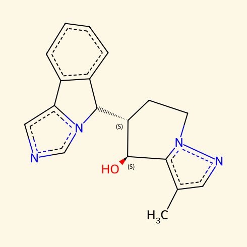 Cc1cnn2c1[C@@H](O)[C@H](C1c3ccccc3-c3cncn31)CC2